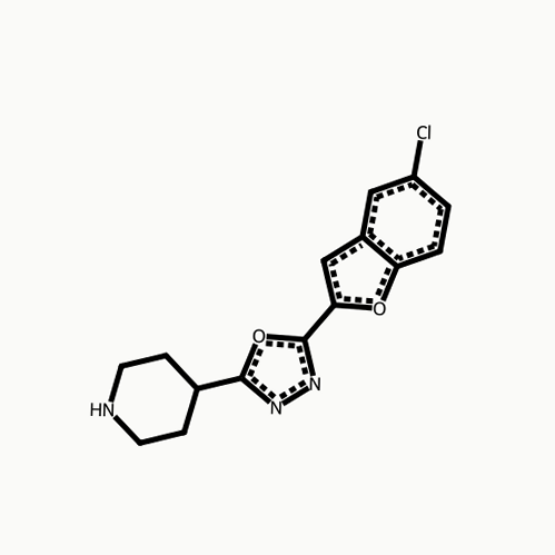 Clc1ccc2oc(-c3nnc(C4CCNCC4)o3)cc2c1